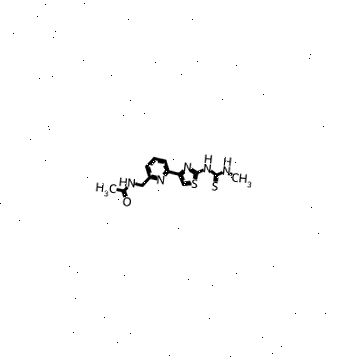 CNC(=S)Nc1nc(-c2cccc(CNC(C)=O)n2)cs1